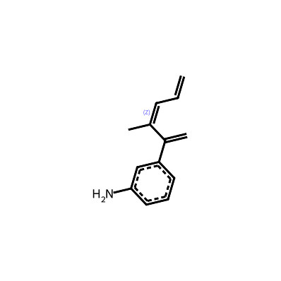 C=C/C=C(/C)C(=C)c1cccc(N)c1